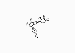 O=C1CCC(n2cc3c(N4C5CNCC4C5)cc(F)c(F)c3c2)C(=O)N1